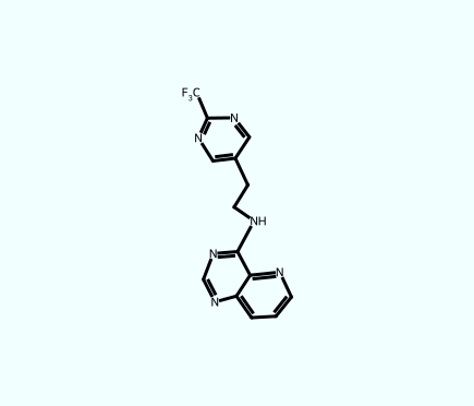 FC(F)(F)c1ncc(CCNc2ncnc3cccnc23)cn1